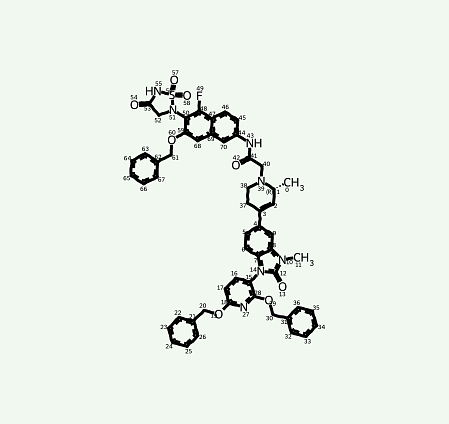 C[C@@H]1C=C(c2ccc3c(c2)n(C)c(=O)n3-c2ccc(OCc3ccccc3)nc2OCc2ccccc2)CCN1CC(=O)Nc1ccc2c(F)c(N3CC(=O)NS3(=O)=O)c(OCc3ccccc3)cc2c1